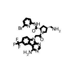 NC[C@H]1C[C@@H](C(=O)Nc2cccc(Br)n2)N(C(=O)Cn2c3ccc(C(F)(F)F)cc3c3c(N)ncnc32)C1